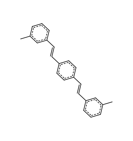 Cc1cccc(C=Cc2ccc(C=Cc3cccc(C)c3)cc2)c1